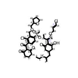 CCSC(C)CC1CC(=O)C(/C(CC)=N/OC/C=C/Cl)=C(O)C1.CS(=O)(=O)c1ccc(C(=O)C2C(=O)CCCC2=O)c(Cl)c1COCC1CCCO1